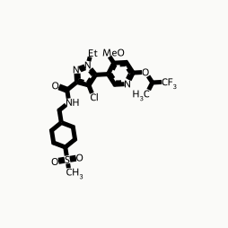 CCn1nc(C(=O)NCC2CCC(S(C)(=O)=O)CC2)c(Cl)c1-c1cnc(OC(C)C(F)(F)F)cc1OC